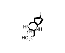 O=C(O)CC1Nc2ccc(I)cc2CN[C@H]1I